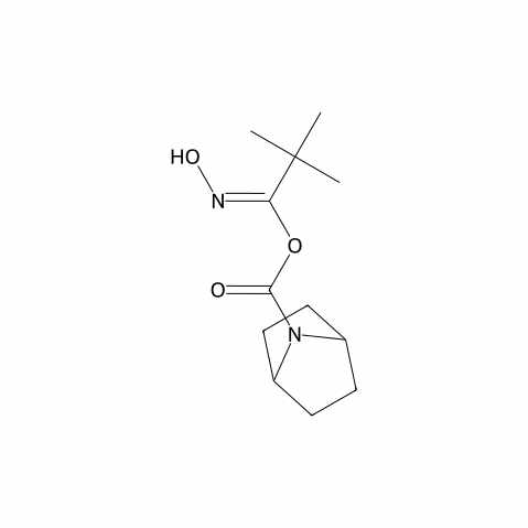 CC(C)(C)C(=NO)OC(=O)N1C2CCC1CC2